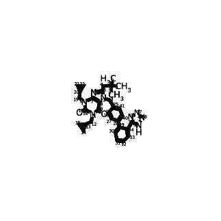 CC(C)(C)Cc1nc2c(c(=O)n(CC3CC3)c(=O)n2CC2CC2)n1Cc1ccc(-c2ccccc2-c2nnn[nH]2)cc1